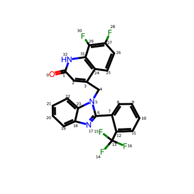 O=c1cc(Cn2c(-c3ccccc3C(F)(F)F)nc3ccccc32)c2ccc(F)c(F)c2[nH]1